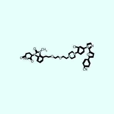 Cn1c(=O)n(C2CCC(=O)NC2=O)c2cccc(CCOCCOCCN3CCN(c4ccc(-n5ccnc5-c5ccc(-c6ccc(C#N)cc6)o5)cc4Cl)CC3)c21